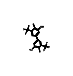 Cc1c(O)cc(-c2cc(O)c(C)c(C(F)(F)F)c2)cc1C(F)(F)F